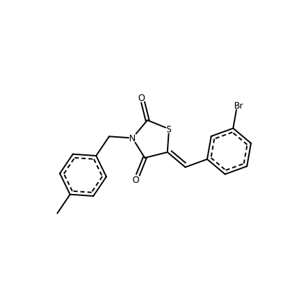 Cc1ccc(CN2C(=O)S/C(=C\c3cccc(Br)c3)C2=O)cc1